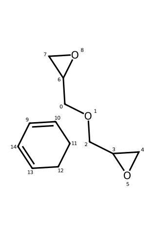 C(OCC1CO1)C1CO1.C1=CCCC=C1